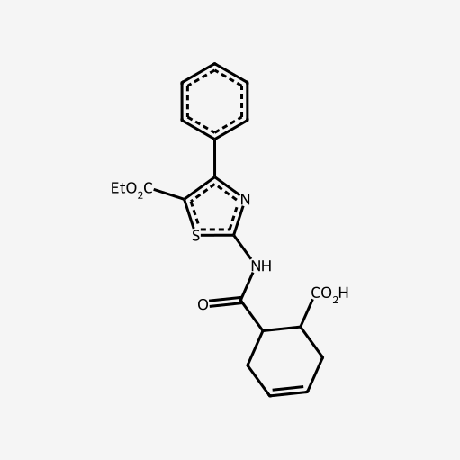 CCOC(=O)c1sc(NC(=O)C2CC=CCC2C(=O)O)nc1-c1ccccc1